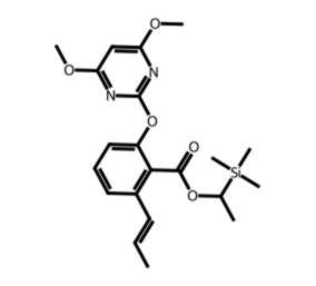 CC=Cc1cccc(Oc2nc(OC)cc(OC)n2)c1C(=O)OC(C)[Si](C)(C)C